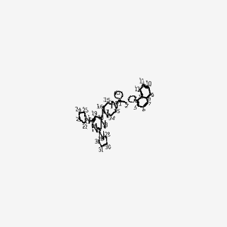 O=C(COc1cccc2ccccc12)N1CCN(c2cc(N3CCCC3)nc(N3CCCC3)n2)CC1